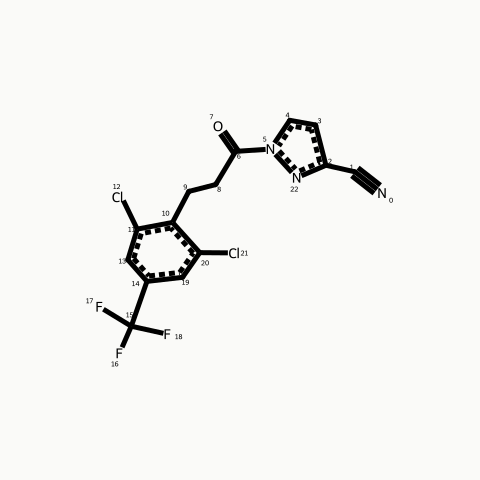 N#Cc1ccn(C(=O)CCc2c(Cl)cc(C(F)(F)F)cc2Cl)n1